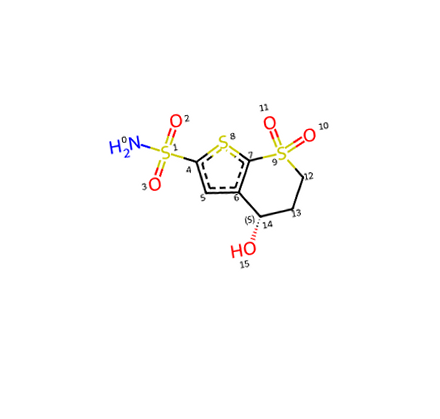 NS(=O)(=O)c1cc2c(s1)S(=O)(=O)CC[C@@H]2O